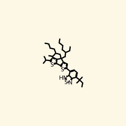 CCCCC(CC)CC1(CC(CC)CCCC)c2cc(C3=CC=C(C(C)(C)CC)C4=NSNC34)sc2-c2sc(C(C)C)cc21